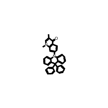 Cc1cn(C)c2cc(N3c4ccccc4C(c4ccccc4)(c4ccccc4)c4ccccc43)ccc2c1=O